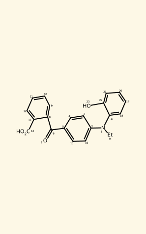 CCN(c1ccc(C(=O)c2ccccc2C(=O)O)cc1)c1ccccc1O